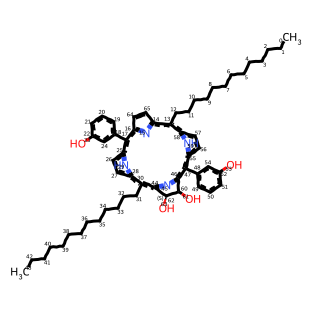 CCCCCCCCCCCCCc1c2nc(c(-c3cccc(O)c3)c3ccc([nH]3)c(CCCCCCCCCCCCC)c3nc(c(-c4cccc(O)c4)c4ccc1[nH]4)C(O)[C@H]3O)C=C2